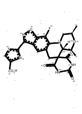 C[C@@H]1CN2c3c(cc4c(-c5nc(C(=O)O)cs5)noc4c3F)CC3(C(=O)NC(=O)NC3=O)[C@H]2[C@H](C)O1